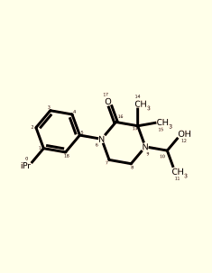 CC(C)c1cccc(N2CCN(C(C)O)C(C)(C)C2=O)c1